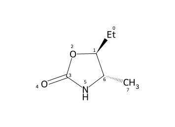 CC[C@@H]1OC(=O)N[C@H]1C